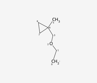 [CH2]COCC1(C)CC1